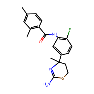 Cc1ccc(C(=O)Nc2cc(C3(C)CCSC(N)=N3)ccc2F)c(C)c1